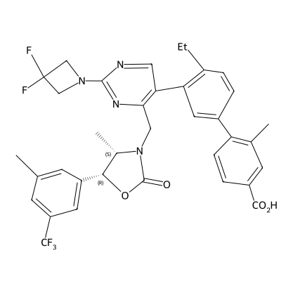 CCc1ccc(-c2ccc(C(=O)O)cc2C)cc1-c1cnc(N2CC(F)(F)C2)nc1CN1C(=O)O[C@H](c2cc(C)cc(C(F)(F)F)c2)[C@@H]1C